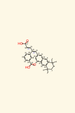 CC1(C)CCC(C)(C)c2cc3cc(/C=C(/C=C/C(=O)O)c4cccc(C(=O)O)c4)ccc3cc21